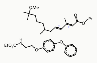 CCOC(=O)NCCOc1ccc(Oc2ccccc2)cc1.COC(C)(C)CCCC(C)C/C=C/C(C)=C/C(=O)OC(C)C